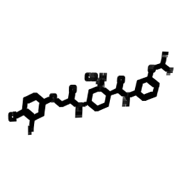 O=C(COc1ccc(Cl)c(F)c1)N[C@H]1CC[C@H](C(=O)Nc2cccc(OC(F)F)c2)N(C(=O)O)C1